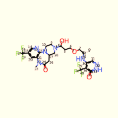 C[C@@H](COCCC(O)N1CCN2c3ncc(C(F)(F)F)cc3N(C)C(=O)CC2C1)Nc1cn[nH]c(=O)c1C(F)(F)F